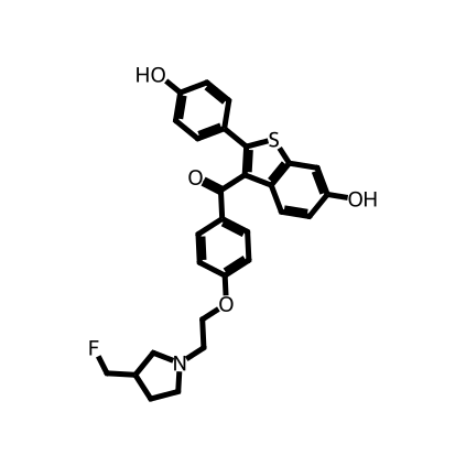 O=C(c1ccc(OCCN2CCC(CF)C2)cc1)c1c(-c2ccc(O)cc2)sc2cc(O)ccc12